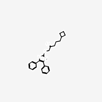 O=C(CCCC1CCC1)CSc1nc(-c2ccccc2)c(-c2ccccc2)o1